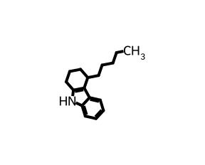 CCCCCC1CCCc2[nH]c3ccccc3c21